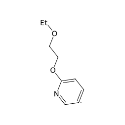 CCOCCOc1cc[c]cn1